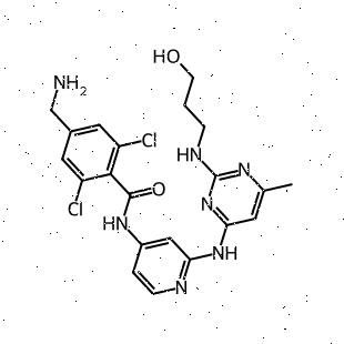 Cc1cc(Nc2cc(NC(=O)c3c(Cl)cc(CN)cc3Cl)ccn2)nc(NCCCO)n1